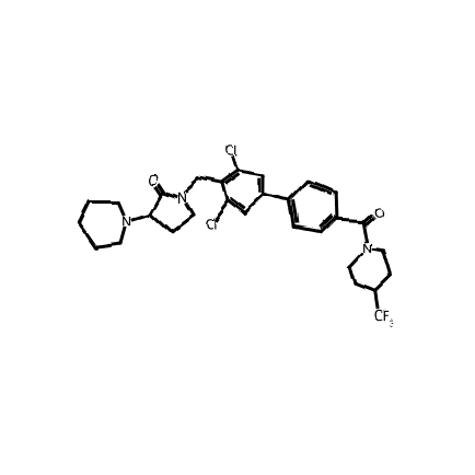 O=C(c1ccc(-c2cc(Cl)c(CN3CCC(N4CCCCC4)C3=O)c(Cl)c2)cc1)N1CCC(C(F)(F)F)CC1